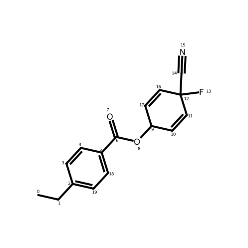 CCc1ccc(C(=O)OC2C=CC(F)(C#N)C=C2)cc1